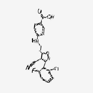 N#Cc1c(-c2c(F)cccc2Cl)noc1C=CNc1ccc(C(=O)O)cc1